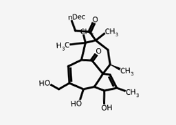 CCCCCCCCCCCC(=O)C1(C)C[C@@H](C)C23C=C(C)C(O)C2C(O)C(CO)=CC(C3=O)C1(C)C